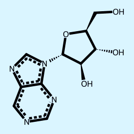 OC[C@@H]1O[C@@H](n2cnc3cncnc32)[C@H](O)[C@H]1O